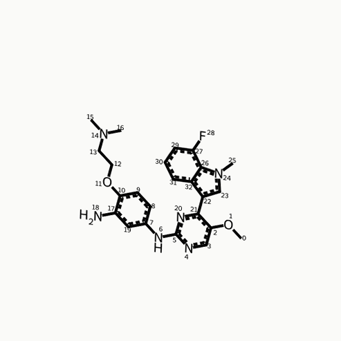 COc1cnc(Nc2ccc(OCCN(C)C)c(N)c2)nc1-c1cn(C)c2c(F)cccc12